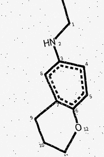 CCNc1ccc2c(c1)CCCO2